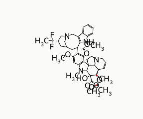 CCC12C=CCN3CC[C@@]4(c5cc([C@@]6(C(=O)OC)CC7C[C@H](C(C)(F)F)CN(Cc8c6[nH]c6ccccc86)C7)c(OC)cc5N(C)C4[C@@](O)(C(=O)OC)[C@@H]1OC(C)=O)C32